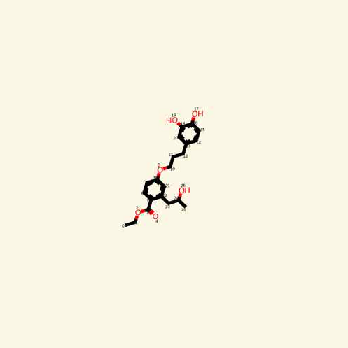 CCOC(=O)c1ccc(OCCCc2ccc(O)c(O)c2)cc1CC(C)O